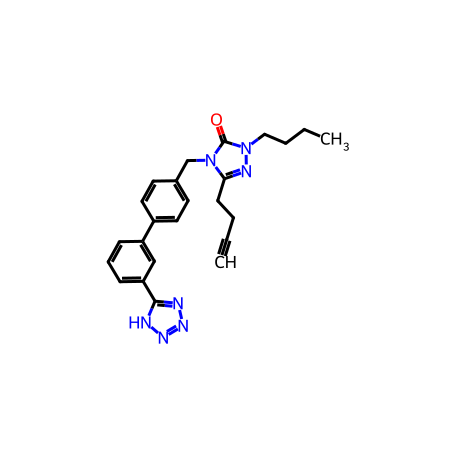 C#CCCc1nn(CCCC)c(=O)n1Cc1ccc(-c2cccc(-c3nnn[nH]3)c2)cc1